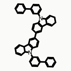 C1=CC2c3cc(-c4ccc5c(c4)c4c(n5-c5cccc(-c6ccccc6)c5)=CCCC=4)ccc3N(c3cccc(-c4ccccc4)c3)C2C=C1